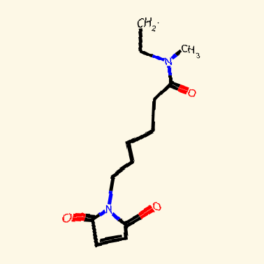 [CH2]CN(C)C(=O)CCCCCN1C(=O)C=CC1=O